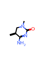 C=C1CN(C)C(=O)N=C1N